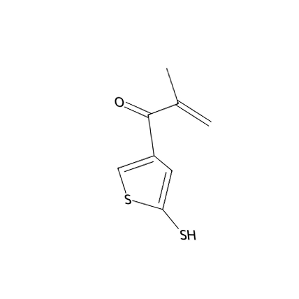 C=C(C)C(=O)c1csc(S)c1